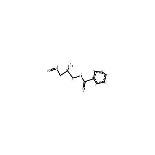 O=NCC(O)COC(=O)c1ccccc1